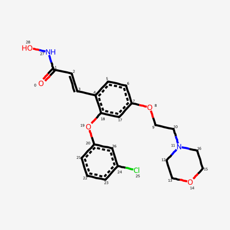 O=C(C=Cc1ccc(OCCN2CCOCC2)cc1Oc1cccc(Cl)c1)NO